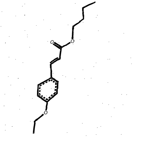 CCCCOC(=O)/C=C/c1ccc(OCC)cc1